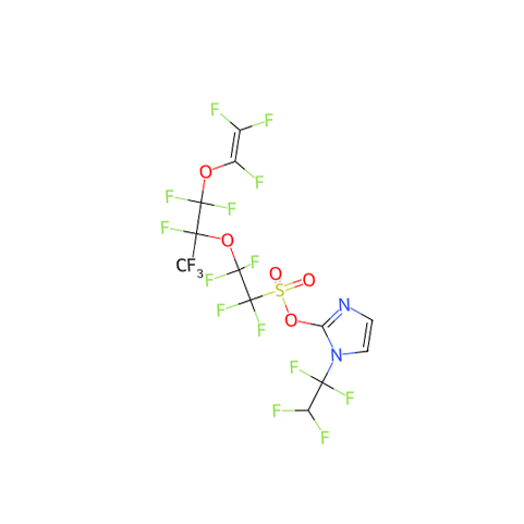 O=S(=O)(Oc1nccn1C(F)(F)C(F)F)C(F)(F)C(F)(F)OC(F)(C(F)(F)F)C(F)(F)OC(F)=C(F)F